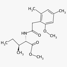 CC[C@H](C)[C@H](NC(=O)Cc1c(C)cc(C)cc1OC)C(=O)OC